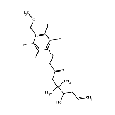 C=CCC(O)C(C)(C)CC(=O)OCc1c(F)c(F)c(COC)c(F)c1F